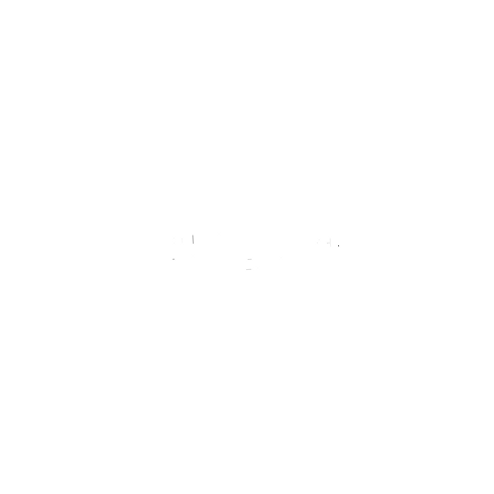 CCC(CC)(c1ccc(O)c(C)c1)c1ccc(C2(O)CCCC2)c(C)c1